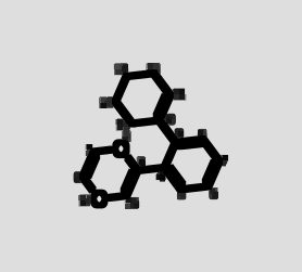 C1=COC(c2ccccc2C2=CCCCC2)=CO1